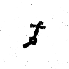 C#Cc1ccc(C#C[Si](C(C)C)(C(C)C)C(C)C)s1